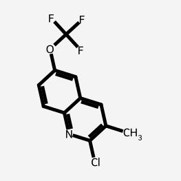 Cc1cc2cc(OC(F)(F)F)ccc2nc1Cl